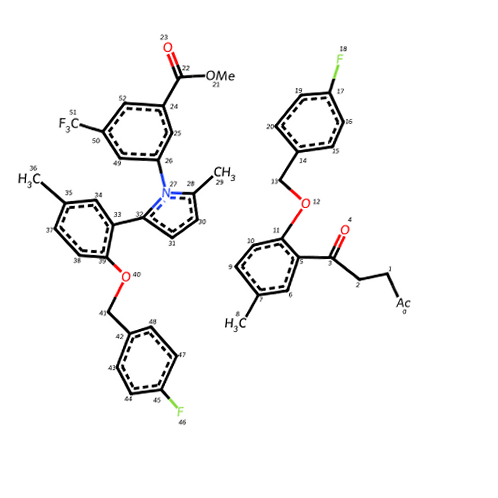 CC(=O)CCC(=O)c1cc(C)ccc1OCc1ccc(F)cc1.COC(=O)c1cc(-n2c(C)ccc2-c2cc(C)ccc2OCc2ccc(F)cc2)cc(C(F)(F)F)c1